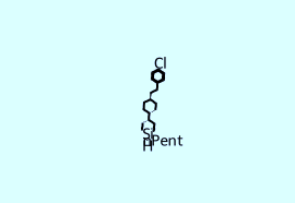 CCCCC[Si@H]1CC[C@H]([C@H]2CC[C@H](CCc3ccc(Cl)cc3)CC2)CC1